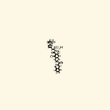 CS(=O)(=O)c1ccc(CC(NC(=O)c2c(Cl)cc3c(c2Cl)CCN(C(=O)c2cc4ccccc4cn2)C3)C(=O)O)o1